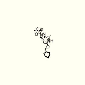 CN(C)S(=O)(=O)n1cnc([Si@H](C)NC(=O)OCc2ccccc2)n1